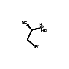 CC(C)C[C@H](N)C#N.Cl